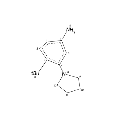 CC(C)(C)c1ccc(N)cc1N1CCCC1